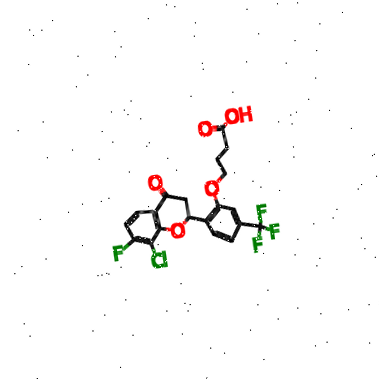 O=C(O)CCCOc1cc(C(F)(F)F)ccc1C1CC(=O)c2ccc(F)c(Cl)c2O1